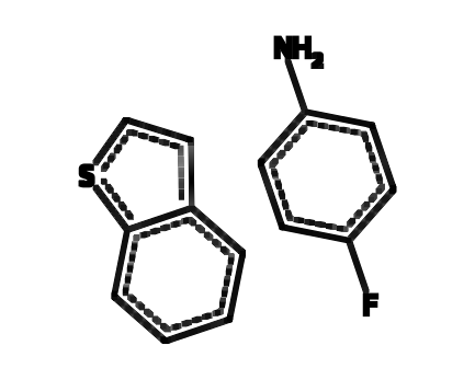 Nc1ccc(F)cc1.c1ccc2sccc2c1